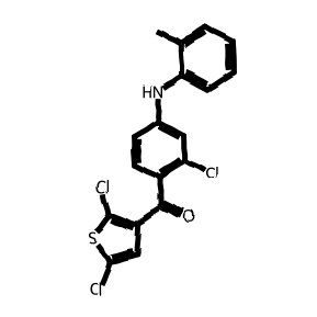 Cc1ccccc1Nc1ccc(C(=O)c2cc(Cl)sc2Cl)c(Cl)c1